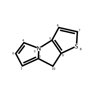 c1cc2n(c1)-c1ccsc1C2